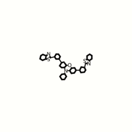 c1ccc(N2c3ccc(-c4cccc(-c5nc6ccccc6s5)c4)cc3Oc3cc(-c4cccc(-c5nc6ccccc6s5)c4)ccc32)cc1